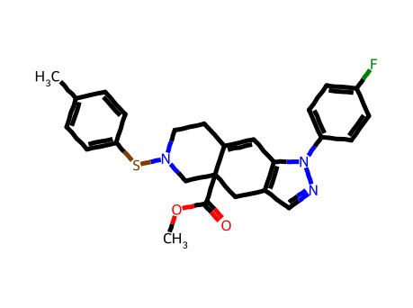 COC(=O)C12Cc3cnn(-c4ccc(F)cc4)c3C=C1CCN(Sc1ccc(C)cc1)C2